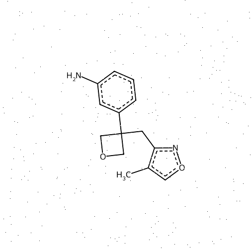 Cc1conc1CC1(c2cccc(N)c2)COC1